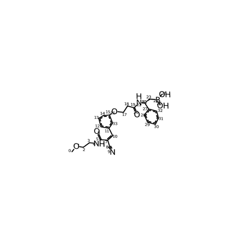 COCCNC(=O)C(C#N)=Cc1cccc(OCCC(=O)N[C@@H](CB(O)O)c2ccccc2)c1